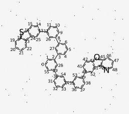 c1cc(-c2cccc(-c3cccc(-c4ccc5sc6ccccc6c5c4)c3)c2)cc(-c2cccc(-c3cccc(-c4ccc5oc6cccnc6c5c4)c3)c2)c1